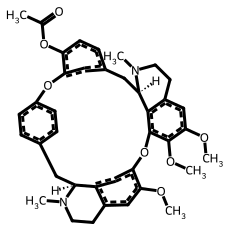 COc1cc2c3cc1Oc1c(OC)c(OC)cc4c1[C@@H](Cc1ccc(OC(C)=O)c(c1)Oc1ccc(cc1)C[C@@H]3N(C)CC2)N(C)CC4